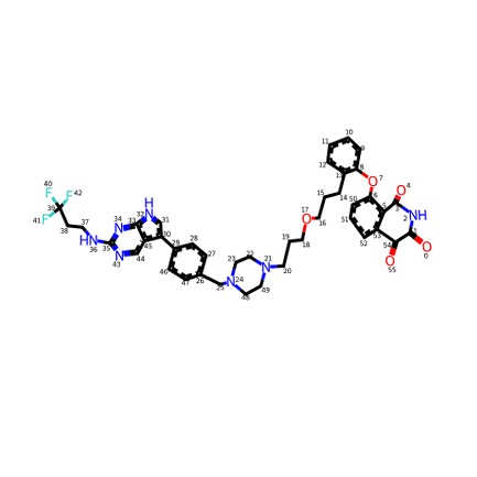 O=C1NC(=O)c2c(Oc3ccccc3CCCOCCCN3CCN(Cc4ccc(-c5c[nH]c6nc(NCCC(F)(F)F)ncc56)cc4)CC3)cccc2C1=O